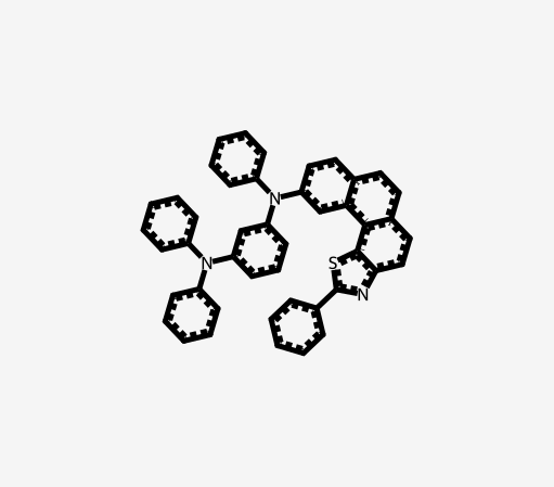 c1ccc(-c2nc3ccc4ccc5ccc(N(c6ccccc6)c6cccc(N(c7ccccc7)c7ccccc7)c6)cc5c4c3s2)cc1